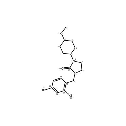 COC1CCC(N2CCC(Cc3ccc(Br)cc3Cl)C2=O)CC1